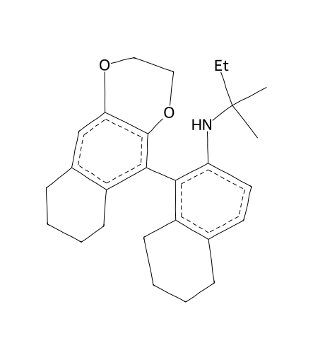 CCC(C)(C)Nc1ccc2c(c1-c1c3c(cc4c1OCCO4)CCCC3)CCCC2